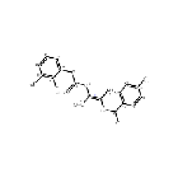 CC(O/C(N)=C(\C=O)OS(=O)Cc1cccc(F)c1F)c1ccc(Cl)cc1